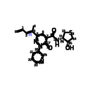 C=C/C=C(\C)c1cc(C(=O)N[C@@H]2CSC[C@@H]2O)c(=O)n(-c2cccnc2)n1